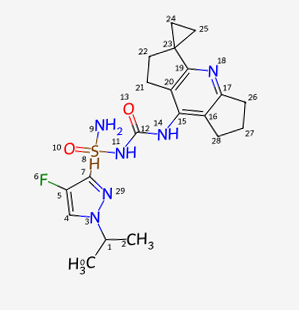 CC(C)n1cc(F)c([SH](N)(=O)NC(=O)Nc2c3c(nc4c2CCC42CC2)CCC3)n1